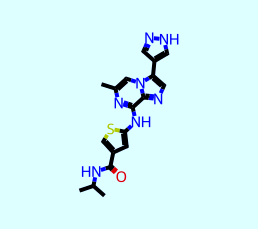 Cc1cn2c(-c3cn[nH]c3)cnc2c(Nc2cc(C(=O)NC(C)C)cs2)n1